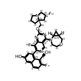 C#Cc1c(F)ccc2cc(O)cc(-c3ncc4c(N5CCOC[C@H]6C[C@H]65)nc(OC[C@@]56CCCN5C[C@H](F)C6)nc4c3F)c12